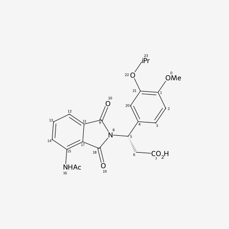 COc1ccc([C@H](CC(=O)O)N2C(=O)c3cccc(NC(C)=O)c3C2=O)cc1OC(C)C